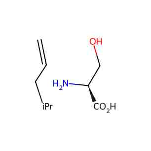 C=CCC(C)C.N[C@@H](CO)C(=O)O